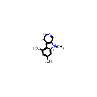 Cc1cc(C)c2c3c(n(C)c2c1)C=NCC3